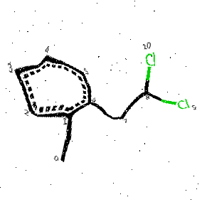 Cc1ccccc1CC(Cl)Cl